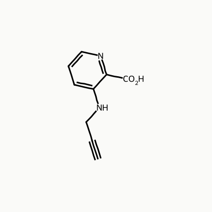 C#CCNc1cccnc1C(=O)O